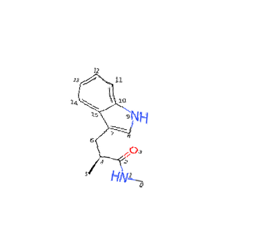 CNC(=O)[C@@H](C)Cc1c[nH]c2ccccc12